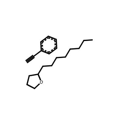 C#Cc1ccccc1.CCCCCCCCC1CCCO1